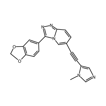 Cn1cncc1C#Cc1ccc2nnc(-c3ccc4c(c3)OCO4)n2c1